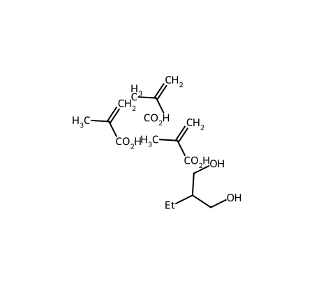 C=C(C)C(=O)O.C=C(C)C(=O)O.C=C(C)C(=O)O.CCC(CO)CO